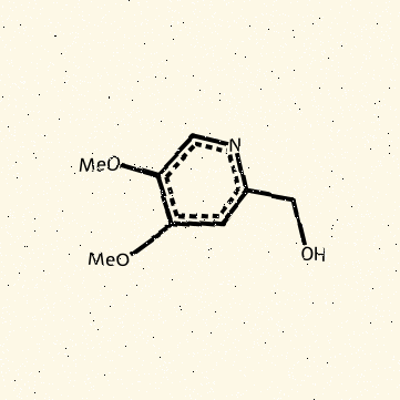 COc1cnc(CO)cc1OC